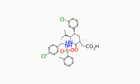 Cc1ccccc1S(=O)(=O)N[C@@H](CC(C)[C@@H]1NC(=O)[C@](C)(CC(=O)O)C[C@@H]1c1cccc(Cl)c1)c1ccc(Cl)cc1